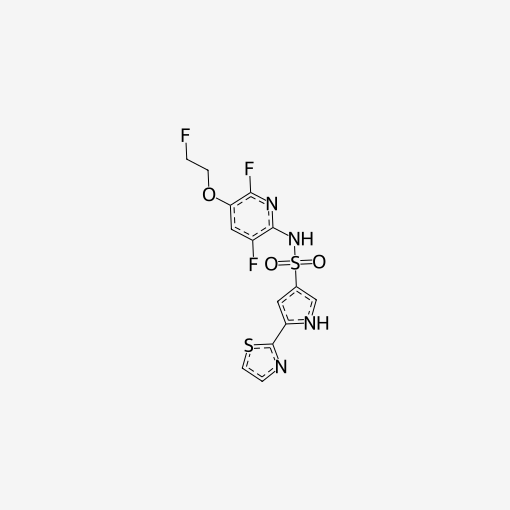 O=S(=O)(Nc1nc(F)c(OCCF)cc1F)c1c[nH]c(-c2nccs2)c1